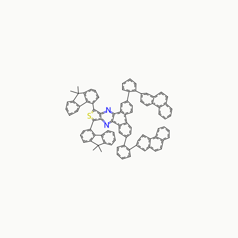 CC1(C)c2ccccc2-c2c(-c3sc(-c4cccc5c4-c4ccccc4C5(C)C)c4nc5c6cc(-c7ccccc7-c7ccc8c(ccc9ccccc98)c7)ccc6c6ccc(-c7ccccc7-c7ccc8c(ccc9ccccc98)c7)cc6c5nc34)cccc21